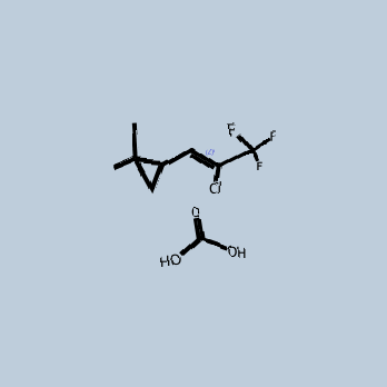 CC1(C)CC1/C=C(\Cl)C(F)(F)F.O=C(O)O